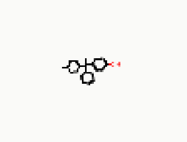 CC1=CC=C(C(C)(C2=CCC(O)C=C2)C2C=CC=CC2)CC1